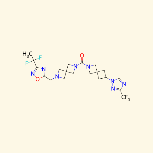 CC(F)(F)c1noc(CN2CC3(C2)CN(C(=O)N2CC4(CC(n5cnc(C(F)(F)F)n5)C4)C2)C3)n1